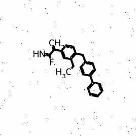 C=C(C(=N)F)c1ccc(Cc2ccc(-c3ccccc3)cc2)c(CC)c1